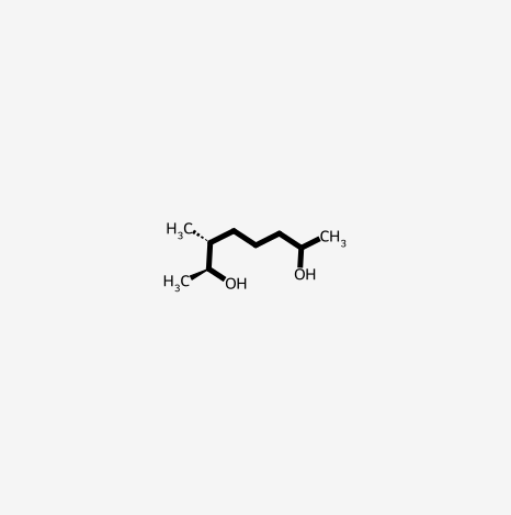 CC(O)CCC[C@@H](C)[C@H](C)O